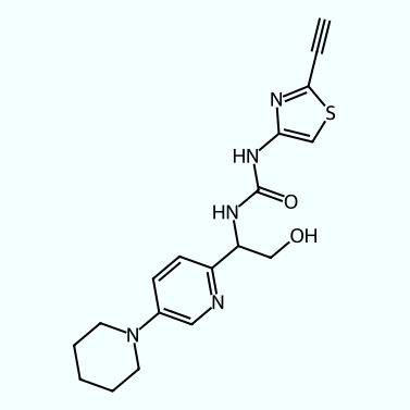 C#Cc1nc(NC(=O)NC(CO)c2ccc(N3CCCCC3)cn2)cs1